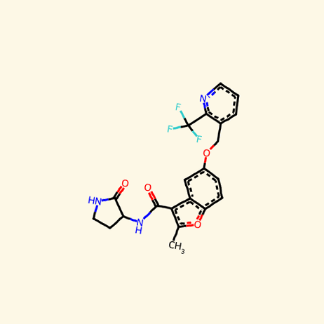 Cc1oc2ccc(OCc3cccnc3C(F)(F)F)cc2c1C(=O)NC1CCNC1=O